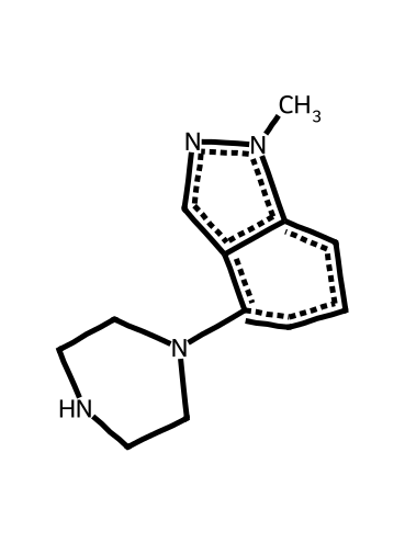 Cn1ncc2c(N3CCNCC3)cccc21